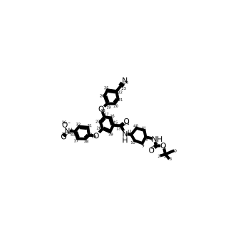 CC(C)(C)OC(=O)NC1CCC(NC(=O)c2cc(Oc3ccc(C#N)cc3)cc(Oc3ccc([N+](=O)[O-])cc3)c2)CC1